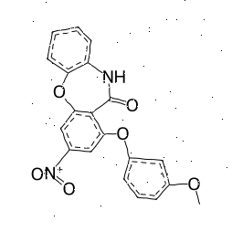 COc1cccc(Oc2cc([N+](=O)[O-])cc3c2C(=O)Nc2ccccc2O3)c1